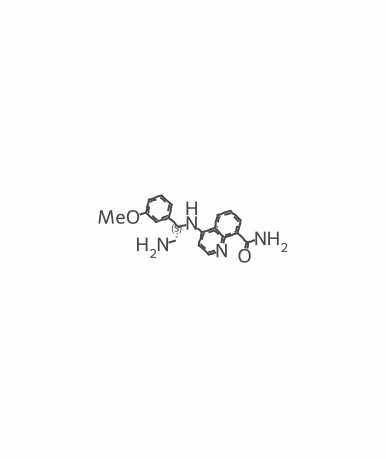 COc1cccc([C@@H](CN)Nc2ccnc3c(C(N)=O)cccc23)c1